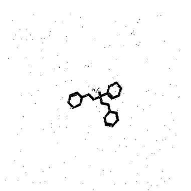 [CH2]C(CCC1C=CCCC1)(CCC1CC=CCC1)C1=CCCCC1